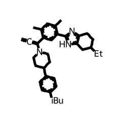 C=C=C(c1cc(-c2nc3c([nH]2)CC(CC)CC3)c(C)cc1C)N1CCC(c2ccc(C(C)CC)cc2)CC1